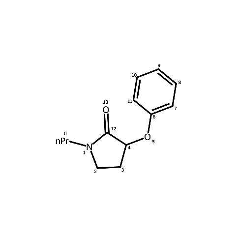 CCCN1CCC(Oc2ccccc2)C1=O